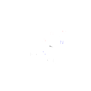 CN(C)C(=O)[C@@H]1CCCN1C(=O)OCc1ccccc1